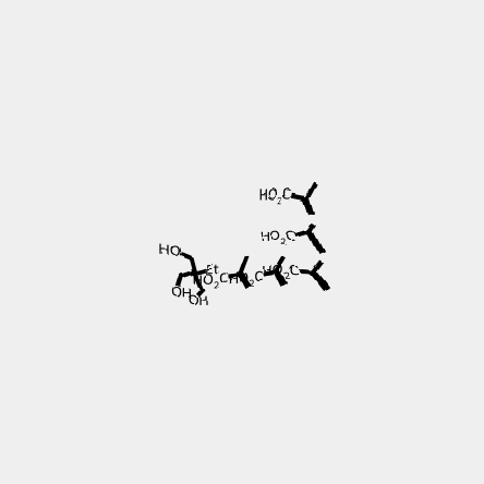 C=C(C)C(=O)O.C=C(C)C(=O)O.C=C(C)C(=O)O.C=C(C)C(=O)O.C=C(C)C(=O)O.CCC(CO)(CO)CO